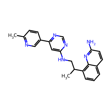 Cc1ccc(-c2cc(NCC(C)c3cccc4ccc(N)nc34)ncn2)cn1